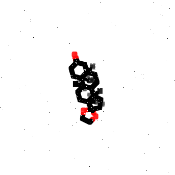 CC12CC[C@H]3C(CC[C@H]4CC(=O)CC[C@@]43C)[C@@H]1CCC21OCCO1